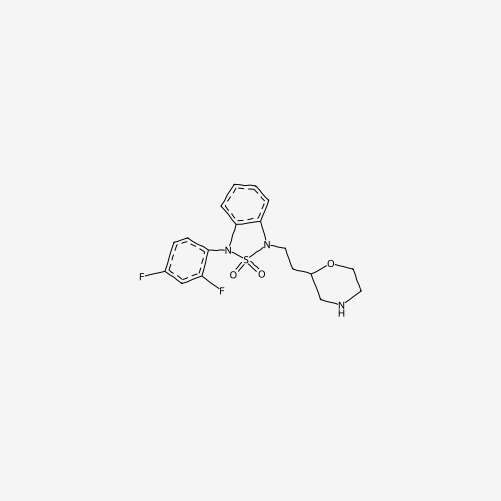 O=S1(=O)N(CCC2CNCCO2)c2ccccc2N1c1ccc(F)cc1F